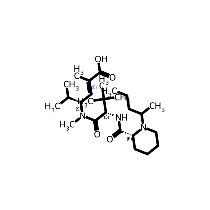 CCCC(C)N1CCCC[C@@H]1C(=O)N[C@H](C(=O)N(C)[C@H](/C=C(\C)C(=O)O)C(C)C)C(C)(C)C